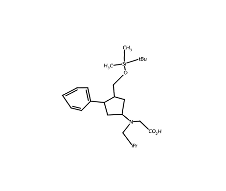 CC(C)CN(CC(=O)O)C1CC(CO[Si](C)(C)C(C)(C)C)C(c2ccccc2)C1